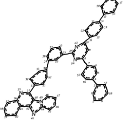 c1ccc(-c2ccc(-c3cc(-c4ccc(-c5ccccc5)cc4)nc(-c4cccc(-c5ccc(-c6nc7ccccc7c7nc8ccccn8c67)cc5)c4)n3)cc2)cc1